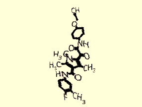 C#CCOC1CCC(NC(=O)C(=O)c2c(C)c(C(=O)Nc3ccc(F)c(C)c3)c(C)n2C)CC1